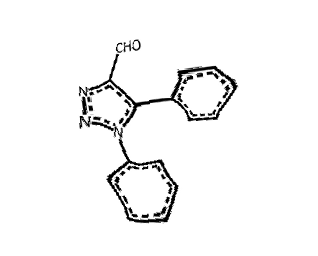 O=Cc1nnn(-c2ccccc2)c1-c1ccccc1